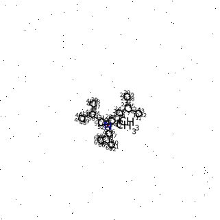 CC1(C)c2cc(-c3cc(-c4ccccc4)cc(-c4ccccc4)c3)ccc2-c2cc3c4cc(-c5cc(-c6ccccc6)cc(-c6ccccc6)c5)ccc4n(-c4ccc5c6ccccc6c6ccccc6c5c4)c3cc21